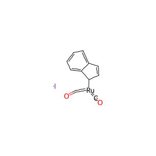 O=[C]=[Ru](=[C]=O)[CH]1C=Cc2ccccc21.[I]